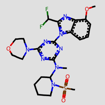 COc1cccc2c1nc(C(F)F)n2-c1nc(N2CCOCC2)nc(N(C)C2CCCCN2S(C)(=O)=O)n1